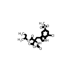 CCC(C)OC(=O)C(Cc1c[nH]c2c(Cl)cc(S(C)(=O)=O)cc12)(NC=O)C(=O)O